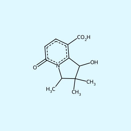 CC1n2c(c(C(=O)O)ccc2=O)C(O)C1(C)C